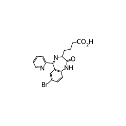 O=C(O)CCCC1N=C(c2ccccn2)c2cc(Br)ccc2NC1=O